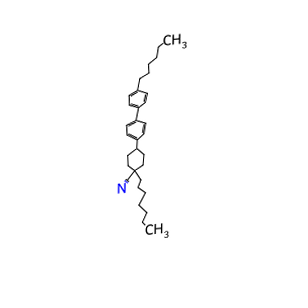 CCCCCCCC1(C#N)CCC(c2ccc(-c3ccc(CCCCCC)cc3)cc2)CC1